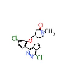 CN1CCC(COc2cc(Cl)ccc2-c2nnc(Cl)c3c2CC=C3)CC1=O